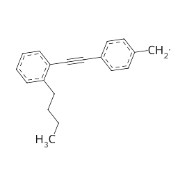 [CH2]c1ccc(C#Cc2ccccc2CCCC)cc1